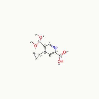 COC(OC)c1cnc(C(=O)O)cc1C1CC1